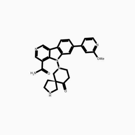 COc1cc(-c2ccc3c4cncc(C(N)=O)c4n(N4CCC(=O)[C@@]5(CCNC5)C4)c3c2)ccn1